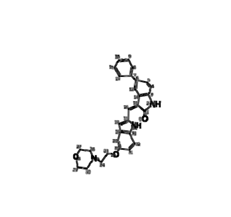 O=C1Nc2ccc(-c3ccccc3)cc2C1=Cc1cc2cc(OCCN3CCOCC3)ccc2[nH]1